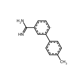 Cc1ccc(-c2[c]ccc(C(=N)N)c2)cc1